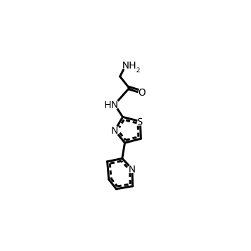 NCC(=O)Nc1nc(-c2ccccn2)cs1